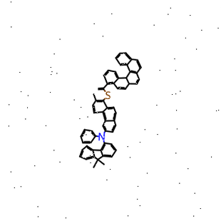 C=C(Sc1c(C)ccc2c1ccc1ccc(N(c3ccccc3)c3cccc4c3-c3ccccc3C4(C)C)cc12)c1cccc2c1C=CC1C=Cc3ccc4ccccc4c3C21